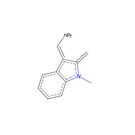 C=c1/c(=C\CCC)c2ccccc2n1C